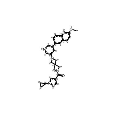 COc1ccc2cc(-c3cncc(N4CC5(CN(C(=O)c6cnn(C7CC7)c6)C5)C4)c3)ccc2n1